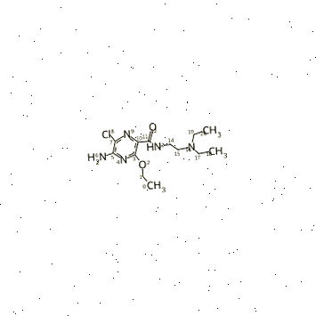 CCOc1nc(N)c(Cl)nc1C(=O)NCCN(CC)CC